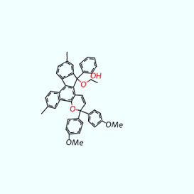 COc1ccc(C2(c3ccc(OC)cc3)C=Cc3c4c(c5ccc(C)cc5c3O2)-c2ccc(C)cc2C4(OC(C)O)c2ccccc2)cc1